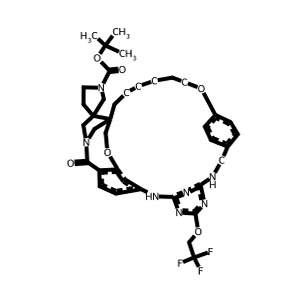 CC(C)(C)OC(=O)N1CCC2(C1)CN1CC23CCCCCCOc2ccc(cc2)CNc2nc(nc(OCC(F)(F)F)n2)Nc2ccc(c(c2)OC3)C1=O